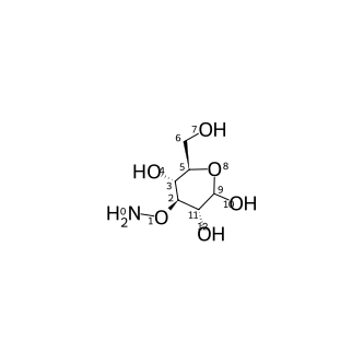 NO[C@H]1[C@H](O)[C@@H](CO)OC(O)[C@@H]1O